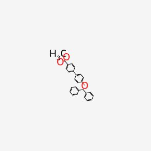 COC(=O)c1ccc(-c2ccc(OC(c3ccccc3)c3ccccc3)cc2)cc1